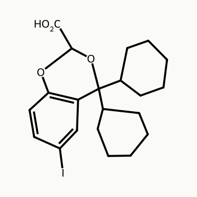 O=C(O)C1Oc2ccc(I)cc2C(C2CCCCC2)(C2CCCCC2)O1